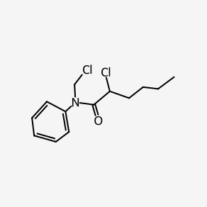 CCCCC(Cl)C(=O)N(CCl)c1ccccc1